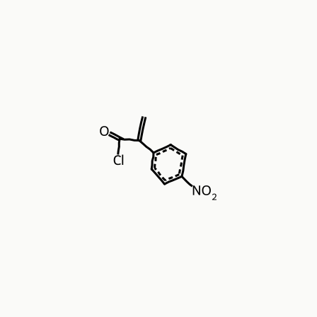 C=C(C(=O)Cl)c1ccc([N+](=O)[O-])cc1